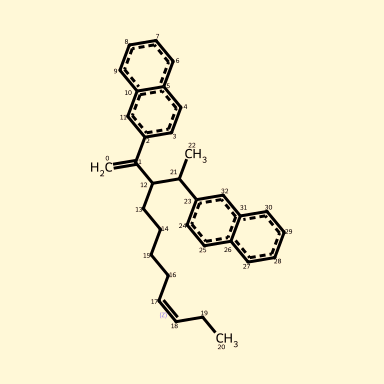 C=C(c1ccc2ccccc2c1)C(CCCC/C=C\CC)C(C)c1ccc2ccccc2c1